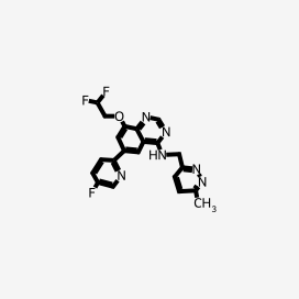 Cc1ccc(CNc2ncnc3c(OCC(F)F)cc(-c4ccc(F)cn4)cc23)nn1